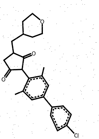 Cc1cc(-c2ccc(Cl)cc2)cc(C)c1C1C(=O)CC(CC2CCOCC2)C1=O